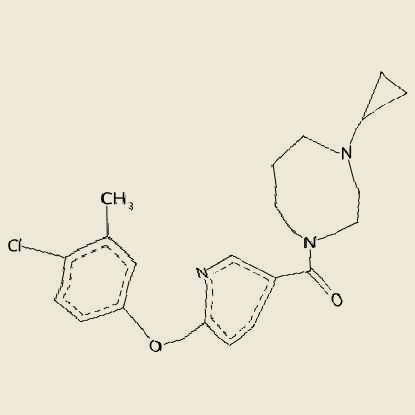 Cc1cc(Oc2ccc(C(=O)N3CCCN(C4CC4)CC3)cn2)ccc1Cl